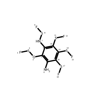 Nc1c(OSF)c(NSF)c(SF)c(SF)c1SF